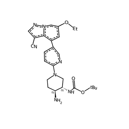 CCOc1cc(-c2ccc(N3CC[C@H](N)[C@@H](NC(=O)OC(C)(C)C)C3)nc2)c2c(C#N)cnn2c1